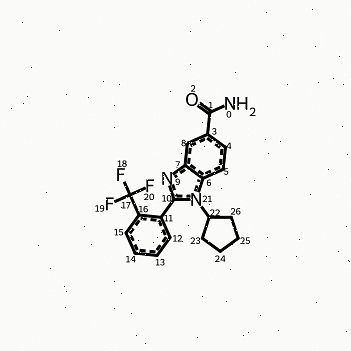 NC(=O)c1ccc2c(c1)nc(-c1ccccc1C(F)(F)F)n2C1CCCC1